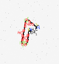 Cc1ncsc1CCOCC(O)COCC(F)(F)OC(F)(F)COCOCCOCC(O)COCCOCC(F)(F)OC(F)(F)OC(F)(F)COCC(O)COCCc1scnc1C